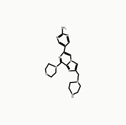 Nc1ncc(-c2cn3cc(CN4CCNCC4)nc3c(N3CCOCC3)n2)cn1